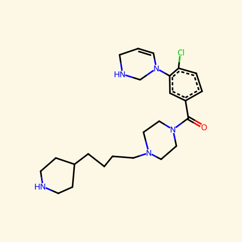 O=C(c1ccc(Cl)c(N2C=CCNC2)c1)N1CCN(CCCCC2CCNCC2)CC1